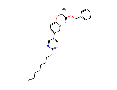 CCCCCCCSc1ncc(-c2ccc(O[C@H](C)C(=O)OCc3ccccc3)cc2)cn1